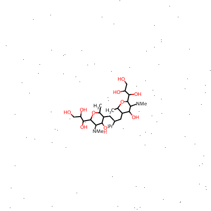 CNC1C(O)C(CC(CC2C(C)OC(C(O)C(O)CO)C(NC)C2O)C(C)C)C(C)OC1C(O)C(O)CO